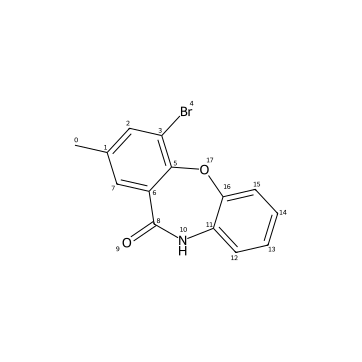 Cc1cc(Br)c2c(c1)C(=O)Nc1ccccc1O2